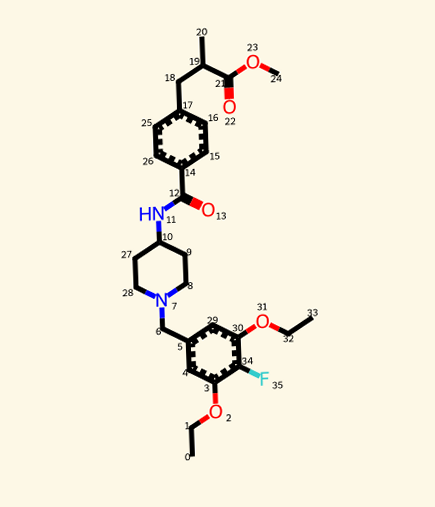 CCOc1cc(CN2CCC(NC(=O)c3ccc(CC(C)C(=O)OC)cc3)CC2)cc(OCC)c1F